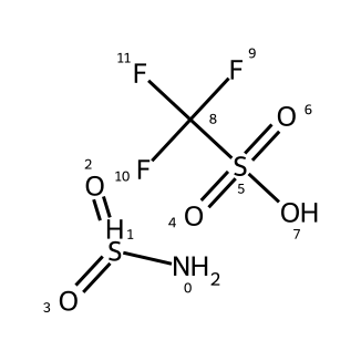 N[SH](=O)=O.O=S(=O)(O)C(F)(F)F